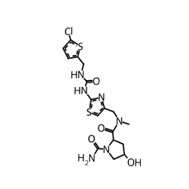 CN(Cc1csc(NC(=O)NCc2ccc(Cl)s2)n1)C(=O)C1CC(O)CN1C(N)=O